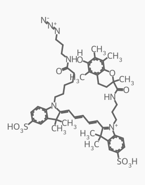 Cc1c(C)c2c(c(C)c1O)CCC(C)(C(=O)NCCC[N+]1=C(/C=C/C=C/C=C3/N(CCCCCC(=O)NCCCN=[N+]=[N-])c4ccc(S(=O)(=O)O)cc4C3(C)C)C(C)(C)c3cc(S(=O)(=O)O)ccc31)O2